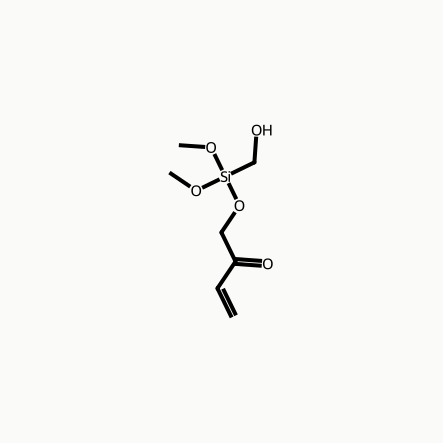 C=CC(=O)CO[Si](CO)(OC)OC